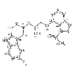 CC(=O)n1ccc2cccc(OCC(O)CN3CCc4[nH]c5ccc(F)cc5c4C3)c21